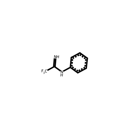 N=C(Nc1ccccc1)C(F)(F)F